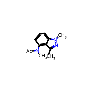 CC(=O)N(C)c1cccc2c1c(C)nn2C